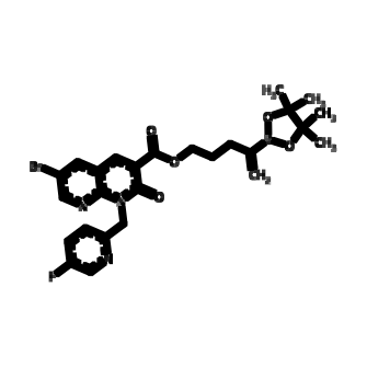 C=C(CCCOC(=O)c1cc2cc(Br)cnc2n(Cc2ccc(F)cn2)c1=O)B1OC(C)(C)C(C)(C)O1